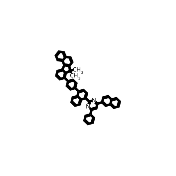 CC1(C)c2ccc3ccccc3c2-c2cccc(-c3ccc(-c4ccc(-c5nc(-c6ccccc6)cc(-c6ccc7ccccc7c6)n5)c5ccccc45)cc3)c21